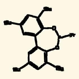 CC(C)p1oc2c(C(C)(C)C)cc(C(C)(C)C)cc2c2cc(C(C)(C)C)cc(C(C)(C)C)c2o1